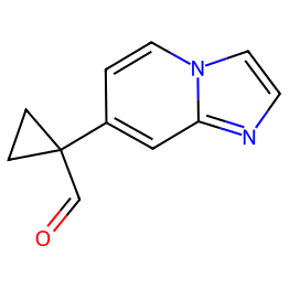 O=CC1(c2ccn3ccnc3c2)CC1